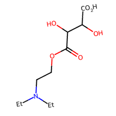 CCN(CC)CCOC(=O)C(O)C(O)C(=O)O